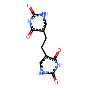 O=c1[nH]cc(CCc2c[nH]c(=O)[nH]c2=O)c(=O)[nH]1